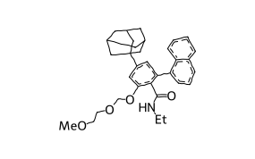 CCNC(=O)c1c(OCOCCOC)cc(C23CC4CC(CC(C4)C2)C3)cc1-c1cccc2ccccc12